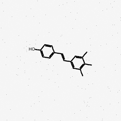 Cc1cc(C=Cc2ccc(O)cc2)cc(C)c1C